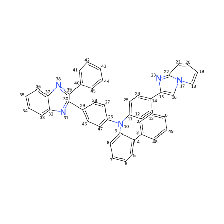 c1ccc(-c2ccccc2N(c2ccc(-c3cn4ccccc4n3)cc2)c2ccc(-c3nc4ccccc4nc3-c3ccccc3)cc2)cc1